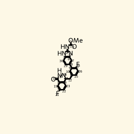 COC(=O)Nc1nc2cc(-c3cc(Cc4n[nH]c(=O)c5cc(F)ccc45)ccc3F)ccc2[nH]1